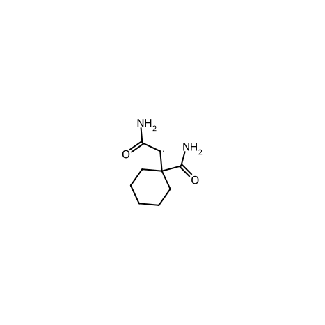 NC(=O)[CH]C1(C(N)=O)CCCCC1